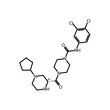 O=C(Nc1ccc(Cl)c(Cl)c1)N1CCN(C(=O)[C@H]2CN(C3CCCC3)CCN2)CC1